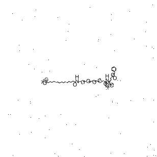 CC(C)(C)OC(=O)CCCCCCCCCCCCCCC(=O)NCCOCCOCCOCCOCCC(=O)NC(CCC(=O)OCc1ccccc1)C(=O)OC(C)(C)C